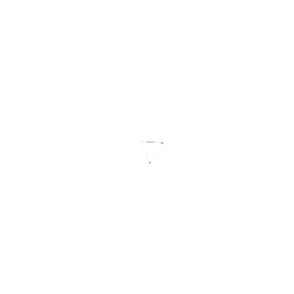 C[C@H]1C[C@H]1F